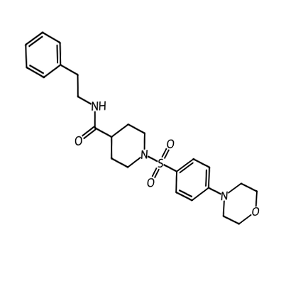 O=C(NCCc1ccccc1)C1CCN(S(=O)(=O)c2ccc(N3CCOCC3)cc2)CC1